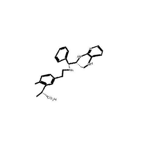 Cc1ccc(CCN[C@H](c2ccccc2)[C@H]2CNc3cccnc3N2)cc1[C@@H](C)C(=O)O